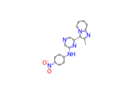 Cc1nc2ccccn2c1-c1cncc(Nc2ccc([N+](=O)[O-])cc2)n1